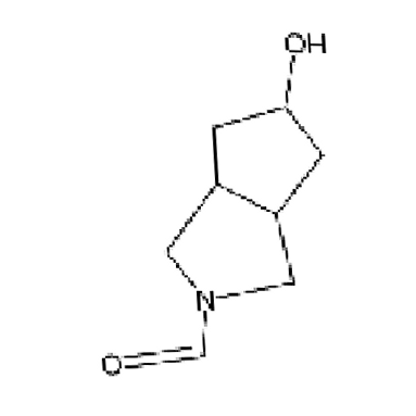 O=CN1CC2CC(O)CC2C1